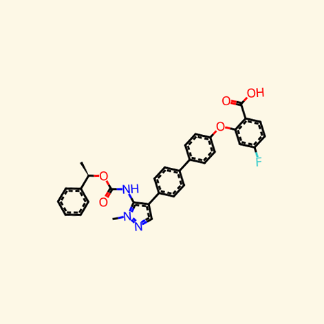 C[C@@H](OC(=O)Nc1c(-c2ccc(-c3ccc(Oc4cc(F)ccc4C(=O)O)cc3)cc2)cnn1C)c1ccccc1